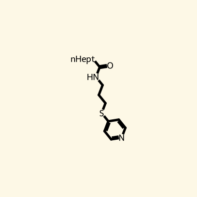 CCCCCCCC(=O)NCCCSc1ccncc1